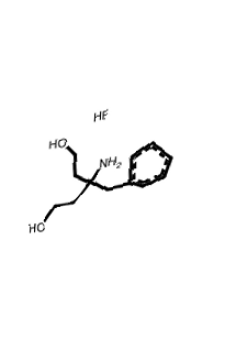 F.NC(CCO)(CCO)Cc1ccccc1